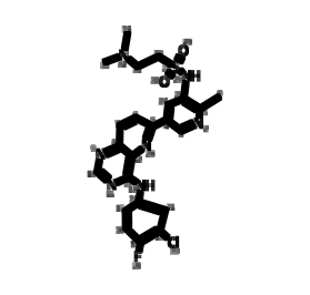 Cc1ncc(-c2ccc3ncnc(Nc4ccc(F)c(Cl)c4)c3n2)cc1NS(=O)(=O)CCN(C)C